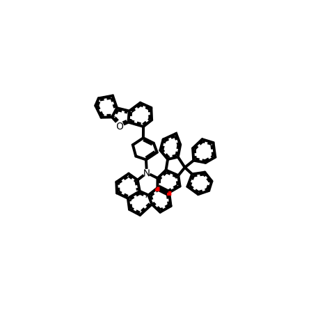 c1ccc2ccc3cccc(N(C4=CC=C(c5cccc6c5oc5ccccc56)CC4)c4cccc5c4-c4ccccc4C5(c4ccccc4)c4ccccc4)c3c2c#1